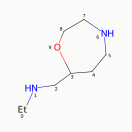 CCNCC1CCNCCO1